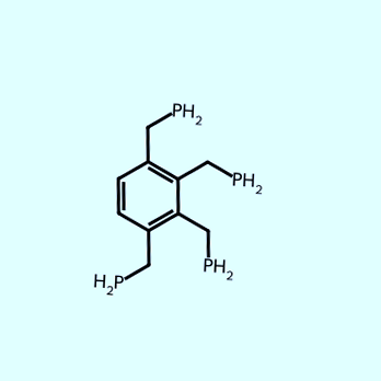 PCc1ccc(CP)c(CP)c1CP